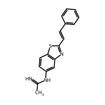 CC(=N)Nc1ccc2sc(/C=C/c3ccccc3)nc2c1